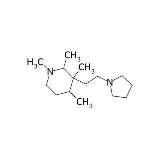 CC1CCN(C)C(C)C1(C)CCN1CCCC1